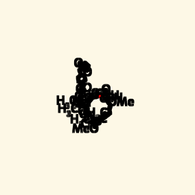 COc1cc2cc(c1Cl)N(C)C(=O)C[C@H](OC(=O)[C@H](C)N(C)C(=O)OCOC(=O)C1CCC(CN3C(=O)C=CC3=O)CC1)[C@@H]1O[C@H]1[C@H](C)[C@@H]1C[C@@](O)(NC(=O)O1)[C@H](OC)/C=C/C=C(\C)C2